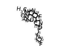 Cn1c(=O)n2c3c4c(c(-c5ccc(OCCCN6CCC(F)CC6)nc5)c(F)cc4ncc31)OCC21CCC1